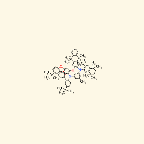 Cc1cc2c3c(c1)N(c1ccc(C(C)(C)C)cc1-c1ccccc1)c1cc4c(cc1B3c1cc3c(cc1N2c1cc2c(cc1C)C(C)(C)CCC2(C)C)C(C)(C)c1ccccc1C3(C)C)oc1ccc(C(C)(C)C)cc14